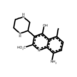 Cc1ccc(N)c2nc(C(=O)O)c(C3CNCCN3)c(O)c12